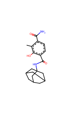 Cc1c(C(N)=O)ccc(C(=O)NC23CC4CC(CC(C4)C2)C3)c1O